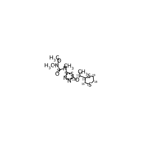 CON(C)C(=O)N(C)c1nnc(OC(C)C2CSCCS2)s1